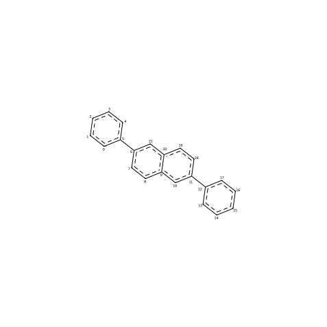 [c]1ccccc1-c1ccc2cc(-c3ccccc3)ccc2c1